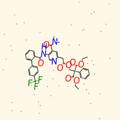 CCOC(=O)C(COC(=O)Cc1cc(C(=O)N(C)C)c(NC(=O)c2ccccc2-c2ccc(C(F)(F)F)cc2)cn1)(C(=O)OCC)c1ccccc1